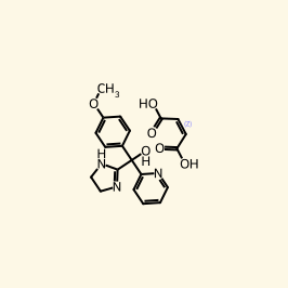 COc1ccc(C(O)(C2=NCCN2)c2ccccn2)cc1.O=C(O)/C=C\C(=O)O